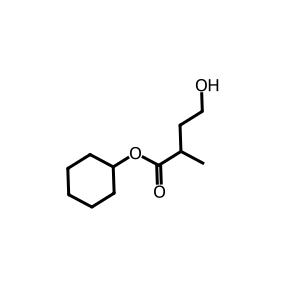 CC(CCO)C(=O)OC1CCCCC1